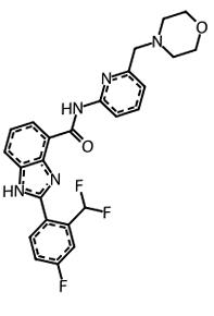 O=C(Nc1cccc(CN2CCOCC2)n1)c1cccc2[nH]c(-c3ccc(F)cc3C(F)F)nc12